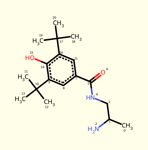 CC(N)CNC(=O)c1cc(C(C)(C)C)c(O)c(C(C)(C)C)c1